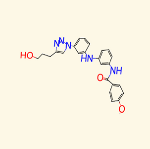 COc1ccc(C(=O)Nc2cccc(Nc3cccc(-n4cc(CCCO)nn4)c3)c2)cc1